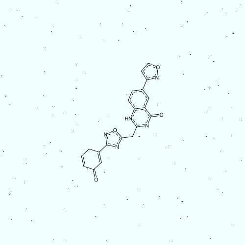 O=C1C=CCC(c2noc(Cc3nc(=O)c4cc(-c5ccon5)ccc4[nH]3)n2)=C1